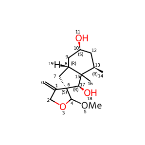 C=C1COC(OC)[C@@]12C[C@@H]1C[C@@H](O)C[C@@H](C)C1(C)[C@H]2O